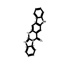 O=c1c2cc3[nH]c4ccccc4c3cc2sc2nc3ccccc3n12